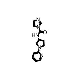 O=C(N[C@@H]1CCN(c2ccccn2)C1)n1ccnc1